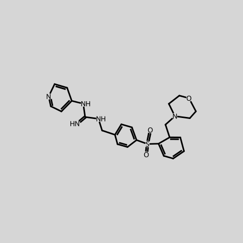 N=C(NCc1ccc(S(=O)(=O)c2ccccc2CN2CCOCC2)cc1)Nc1ccncc1